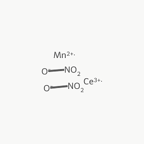 O=[N+]([O-])[O-].O=[N+]([O-])[O-].[Ce+3].[Mn+2]